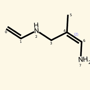 C=CNC/C(C)=C\N